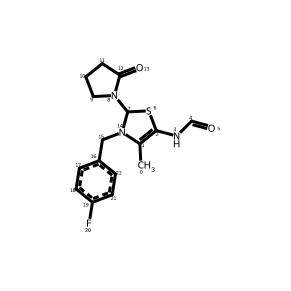 CC1=C(NC=O)SC(N2CCCC2=O)N1Cc1ccc(F)cc1